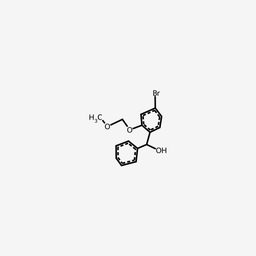 COCOc1cc(Br)ccc1C(O)c1ccccc1